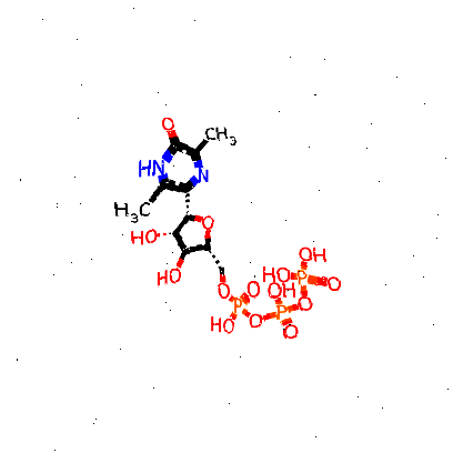 Cc1[nH]c(=O)c(C)nc1[C@@H]1O[C@H](COP(=O)(O)OP(=O)(O)OP(=O)(O)O)C(O)[C@@H]1O